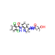 CC(C)(O)CC(=O)NNc1ccnc2c(NC(=O)c3c(Cl)cccc3Cl)cccc12